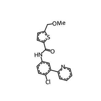 COCc1ccc(C(=O)Nc2ccc(Cl)c(-c3ccccn3)c2)s1